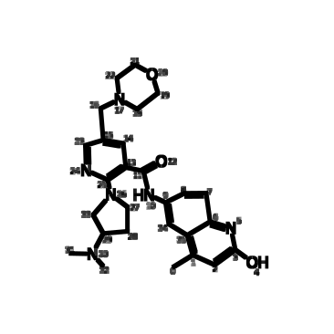 Cc1cc(O)nc2ccc(NC(=O)c3cc(CN4CCOCC4)cnc3N3CCC(N(C)C)C3)cc12